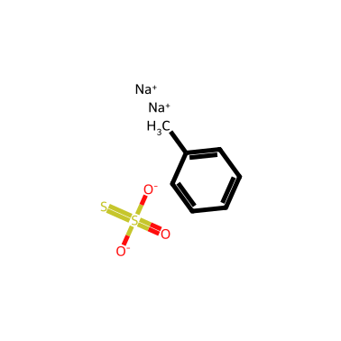 Cc1ccccc1.O=S([O-])([O-])=S.[Na+].[Na+]